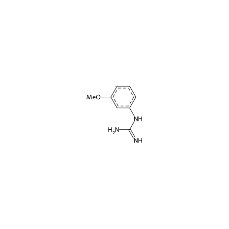 COc1[c]ccc(NC(=N)N)c1